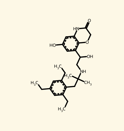 CCc1cc(CC)c(CC(C)(C)NCC(O)c2cc(O)cc3c2OCC(=O)N3)c(CC)c1